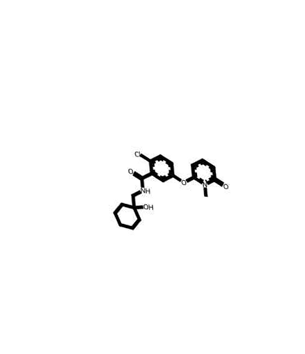 Cn1c(Oc2ccc(Cl)c(C(=O)NCC3(O)CCCCC3)c2)cccc1=O